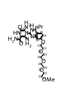 CCCC(NC(=N)N1C(N)=C(Cl)NC(C(N)=O)=C1N)c1ccc(OCCOCCOCCOCCOC)cc1